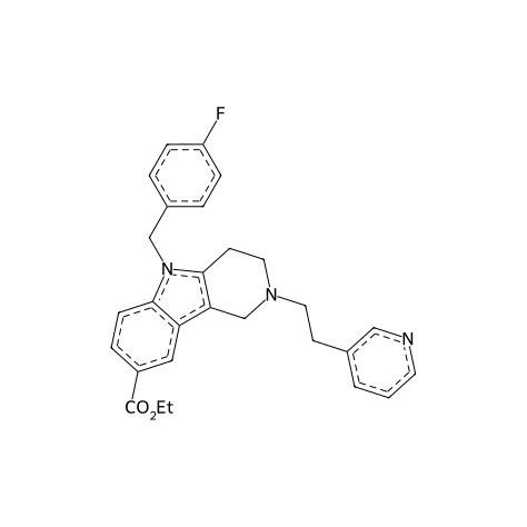 CCOC(=O)c1ccc2c(c1)c1c(n2Cc2ccc(F)cc2)CCN(CCc2cccnc2)C1